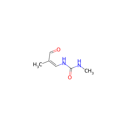 CNC(=O)N/C=C(/C)C=O